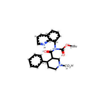 CC(C)(C)OC(=O)N(C(=O)C1CN(C(=O)O)CCC1c1ccccc1)c1cccc2cccnc12